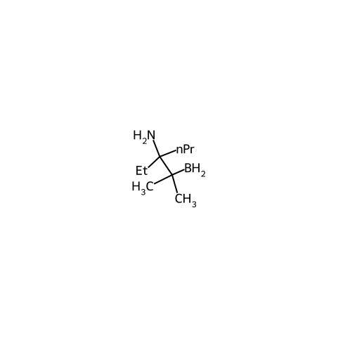 BC(C)(C)C(N)(CC)CCC